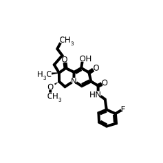 CCCC[C@]1(C)C(=O)c2c(O)c(=O)c(C(=O)NCc3ccccc3F)cn2C[C@@H]1OC